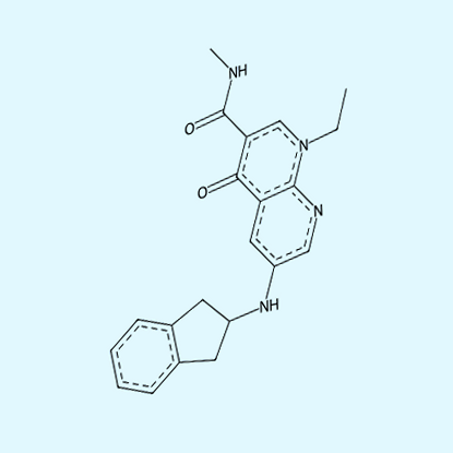 CCn1cc(C(=O)NC)c(=O)c2cc(NC3Cc4ccccc4C3)cnc21